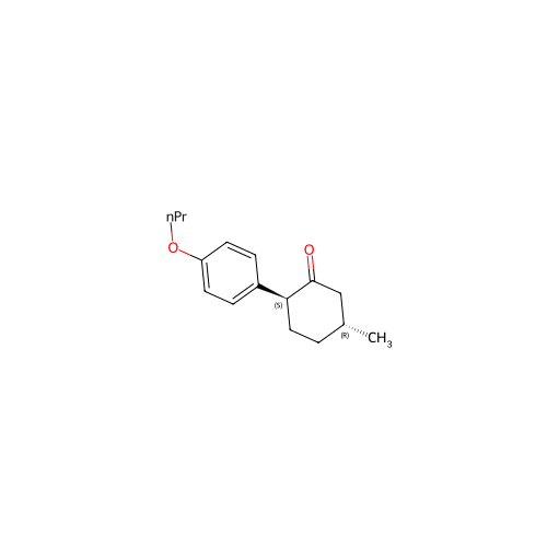 CCCOc1ccc([C@@H]2CC[C@@H](C)CC2=O)cc1